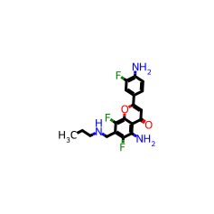 CCCNCc1c(F)c(N)c2c(=O)cc(-c3ccc(N)c(F)c3)oc2c1F